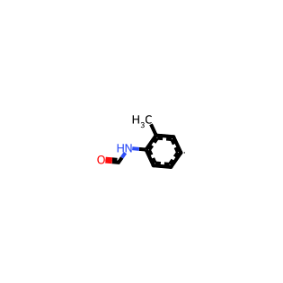 Cc1c[c]ccc1NC=O